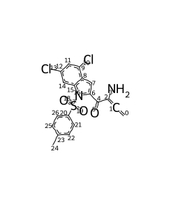 C=C=C(N)C(=O)c1cc2c(Cl)cc(Cl)cc2n1S(=O)(=O)c1ccc(C)cc1